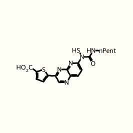 CCCCCNC(=O)N(S)c1ccc2ncc(-c3ccc(C(=O)O)s3)nc2n1